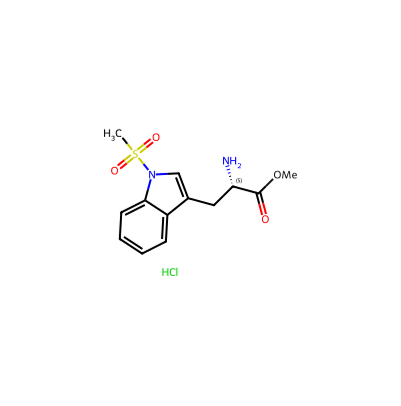 COC(=O)[C@@H](N)Cc1cn(S(C)(=O)=O)c2ccccc12.Cl